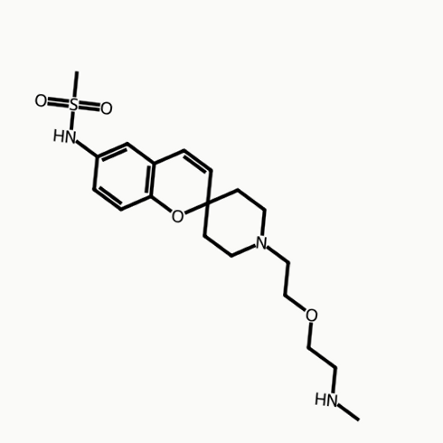 CNCCOCCN1CCC2(C=Cc3cc(NS(C)(=O)=O)ccc3O2)CC1